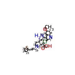 COc1ccc2ncc(Cl)c(C(N)CCC3CCN(CC#Cc4cccs4)CC3CC(=O)O)c2c1